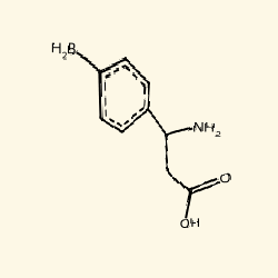 Bc1ccc(C(N)CC(=O)O)cc1